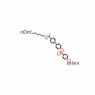 CCCCCCCCCCCCCCCCOC(C)c1ccc(-c2ccc(OC(=O)c3ccc(OCCCCCC)cc3)cc2)cc1